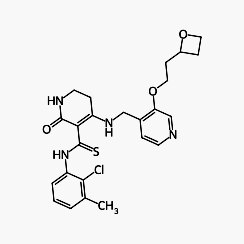 Cc1cccc(NC(=S)C2=C(NCc3ccncc3OCCC3CCO3)CCNC2=O)c1Cl